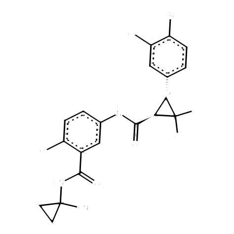 N#CC1(NC(=O)c2cc(NC(=O)[C@H]3[C@H](c4ccc(Br)c(Cl)c4)C3(Cl)Cl)ccc2Cl)CC1